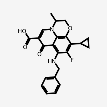 CC1COc2c(C3CC3)c(F)c(NCc3ccccc3)c3c(=O)c(C(=O)O)cn1c23